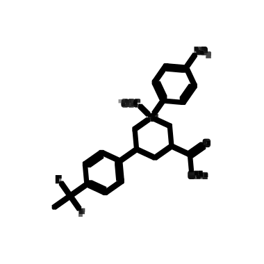 COC(=O)C1CC(c2ccc(C(C)(F)F)cc2)C[N+](C(=O)[O-])(c2ccc([N+](=O)[O-])cc2)C1